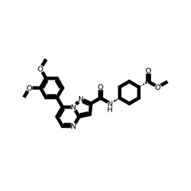 COc1ccc(-c2ccnc3cc(C(=O)N[C@H]4CC[C@@H](C(=O)OC)CC4)nn23)cc1OC